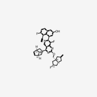 C#Cc1c(F)ccc2cc(O)cc(-c3ncc4c(N5C[C@H]6C=C[C@@H](C5)N6)nc(OC[C@]56CC(=C)CN5C[C@@H](F)C6)nc4c3F)c12